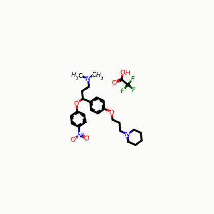 CN(C)CCC(Oc1ccc([N+](=O)[O-])cc1)c1ccc(OCCCN2CCCCC2)cc1.O=C(O)C(F)(F)F